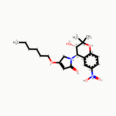 CCCCCCOC1=CC(=O)N([C@@H]2c3cc([N+](=O)[O-])ccc3OC(C)(C)[C@H]2O)C1